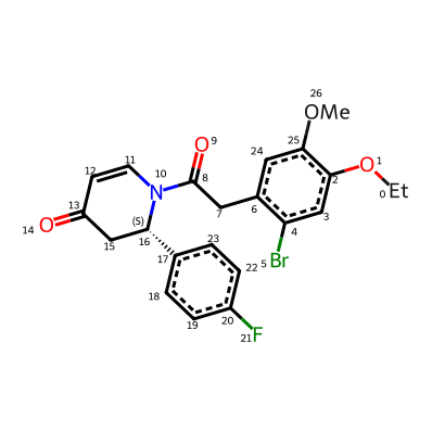 CCOc1cc(Br)c(CC(=O)N2C=CC(=O)C[C@H]2c2ccc(F)cc2)cc1OC